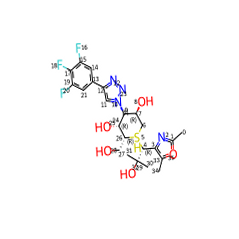 Cc1nc([C@@H]([SH]2C[C@H](O)[C@H](n3cc(-c4cc(F)c(F)c(F)c4)nn3)[C@@H](O)[C@H]2CO)C(C)(C)O)c(C)o1